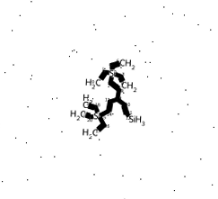 C=C[Si](C=C)(C=C)C=CC(C=C[SiH3])C=C[Si](C=C)(C=C)C=C